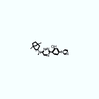 CN(c1cnc(-c2ccc(-n3ccnc3)cc2O)nn1)[C@H]1C[C@]2(C)CC[C@](C)(C1)C2